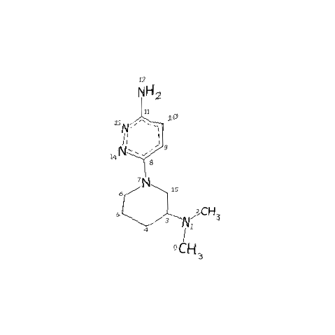 CN(C)C1CCCN(c2ccc(N)nn2)C1